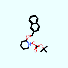 CC(C)(C)OC(=O)ON1CCCCC1OCc1ccc2ccccc2c1